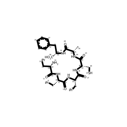 CC(C)C[C@H](NC(=O)[C@H](CC(C)C)NC(=O)[C@@H](N)CC(C)C)C(=O)N[C@@H](CS)C(=O)N[C@@H](C)C(=O)N[C@@H](Cc1ccccc1)C(=O)O